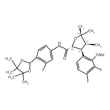 COc1c([C@H]2[C@H](C(=O)Nc3ccc(B4OC(C)(C)C(C)(C)O4)c(F)c3)O[C@@](C)(C(F)(F)F)[C@H]2C)ccc(F)c1F